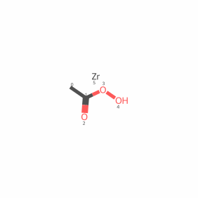 CC(=O)OO.[Zr]